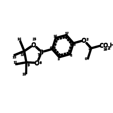 CC(Oc1ccc(B2OC(C)(C)C(C)(C)O2)cc1)C(=O)O